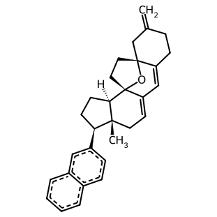 C=C1CCC2=CC3=CC[C@]4(C)[C@@H](c5ccc6ccccc6c5)CC[C@H]4[C@@]34CC[C@]2(C1)O4